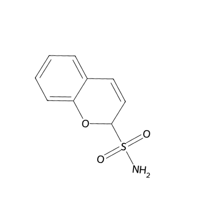 NS(=O)(=O)C1C=Cc2ccccc2O1